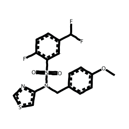 COc1ccc(CN(c2cscn2)S(=O)(=O)c2[c]c(C(F)F)ccc2F)cc1